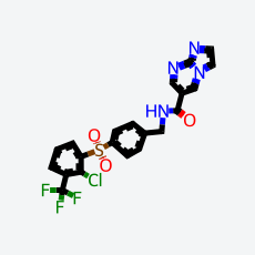 O=C(NCc1ccc(S(=O)(=O)c2cccc(C(F)(F)F)c2Cl)cc1)c1cnc2nccn2c1